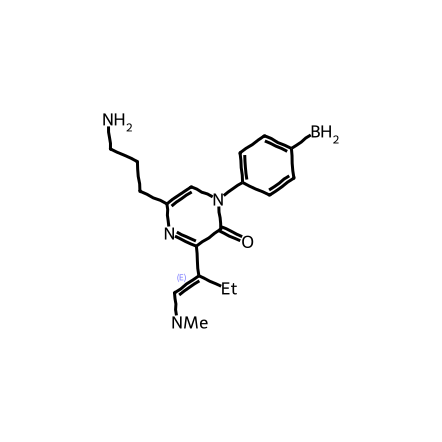 Bc1ccc(-n2cc(CCCN)nc(/C(=C/NC)CC)c2=O)cc1